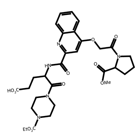 CCOC(=O)N1CCN(C(=O)C(CCC(=O)O)NC(=O)c2cc(OCC(=O)N3CCCC3C(=O)OC)c3ccccc3n2)CC1